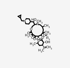 COC1(C)CC(C)CN(C)C([C@H](O)C2CCN(CC3CC3)CC2)COC(=O)C(C)(C)C(=O)C(C)C1O[C@@H]1O[C@H](C)C[C@H](N(C)C)[C@H]1O